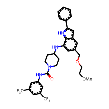 COCCOCc1cc(NC2CCN(C(=O)Nc3cc(C(F)(F)F)cc(C(F)(F)F)c3)CC2)c2[nH]c(-c3ccccc3)cc2c1